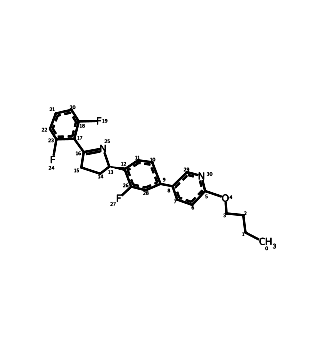 CCCCOc1ccc(-c2ccc([C@H]3CCC(c4c(F)cccc4F)=N3)c(F)c2)cn1